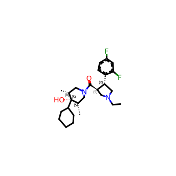 CCN1C[C@@H](C(=O)N2C[C@@H](C)[C@](O)(C3CCCCC3)[C@@H](C)C2)[C@H](c2ccc(F)cc2F)C1